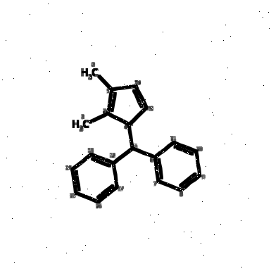 CC1=C(C)[C](C(c2ccccc2)c2ccccc2)C=C1